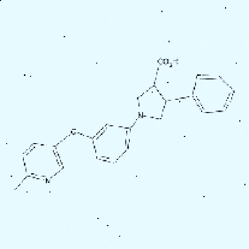 Cc1ccc(Oc2cccc(N3CC(C(=O)O)C(c4ccccc4)C3)c2)cn1